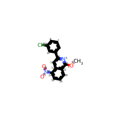 COc1nc(-c2cccc(Cl)c2)cc2c([N+](=O)[O-])cccc12